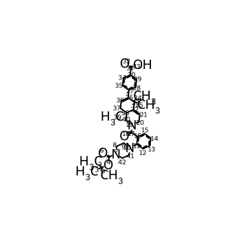 CC(C)(C)OC(=O)N1CCN(c2ccccc2C(=O)N2CC=C3C(C)(C)C(c4ccc(C(=O)O)cc4)=CC[C@]3(C)C2)CC1